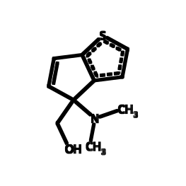 CN(C)C1(CO)C=Cc2sccc21